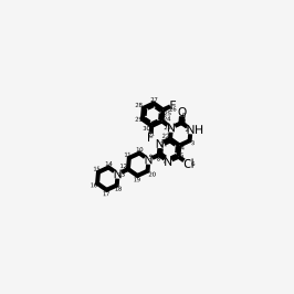 O=C1NCc2c(Cl)nc(N3CCC(N4CCCCC4)CC3)nc2N1c1c(F)cccc1F